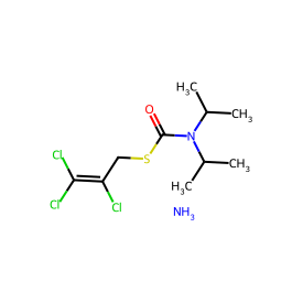 CC(C)N(C(=O)SCC(Cl)=C(Cl)Cl)C(C)C.N